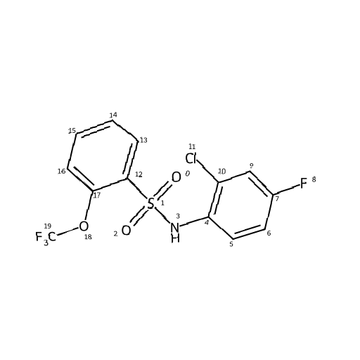 O=S(=O)(Nc1ccc(F)cc1Cl)c1ccccc1OC(F)(F)F